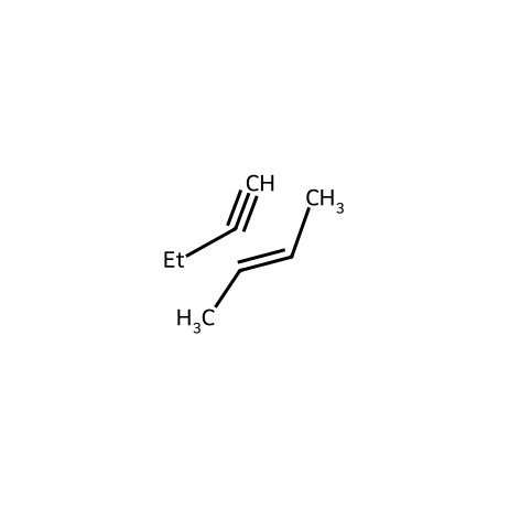 C#CCC.CC=CC